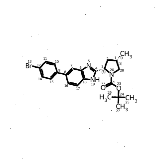 C[C@H]1C[C@@H](c2nc3cc(-c4ccc(Br)cc4)ccc3[nH]2)N(C(=O)OC(C)(C)C)C1